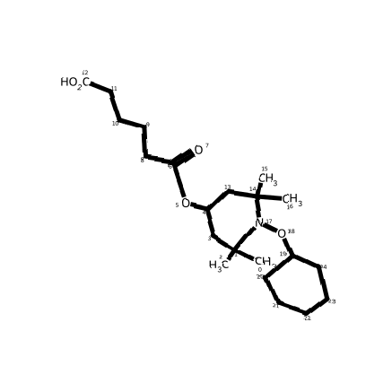 CC1(C)CC(OC(=O)CCCCC(=O)O)CC(C)(C)N1OC1CCCCC1